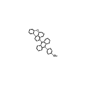 CC(C)(C)c1ccc(-c2c3ccccc3c(-c3ccc4c5c(cccc35)Oc3ccccc3-4)c3ccccc23)cc1